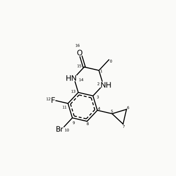 CC1Nc2c(C3CC3)cc(Br)c(F)c2NC1=O